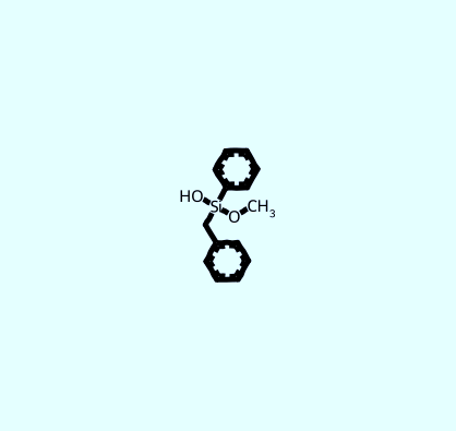 CO[Si](O)(Cc1ccccc1)c1ccccc1